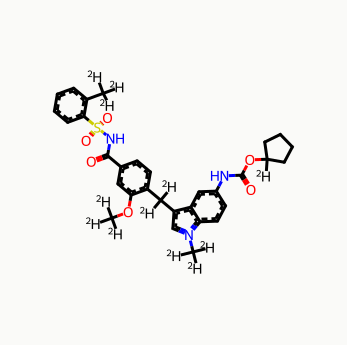 [2H]C([2H])([2H])Oc1cc(C(=O)NS(=O)(=O)c2ccccc2C([2H])([2H])[2H])ccc1C([2H])([2H])c1cn(C([2H])([2H])[2H])c2ccc(NC(=O)OC3([2H])CCCC3)cc12